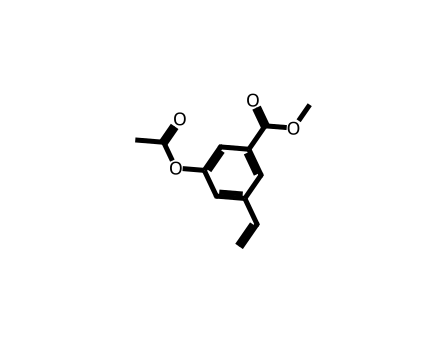 C=Cc1cc(OC(C)=O)cc(C(=O)OC)c1